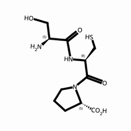 N[C@@H](CO)C(=O)N[C@@H](CS)C(=O)N1CCC[C@H]1C(=O)O